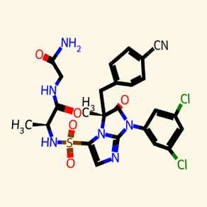 C[C@H](NS(=O)(=O)c1cnc2n1[C@](C)(Cc1ccc(C#N)cc1)C(=O)N2c1cc(Cl)cc(Cl)c1)C(=O)NCC(N)=O